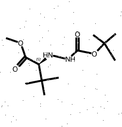 COC(=O)[C@@H](NNC(=O)OC(C)(C)C)C(C)(C)C